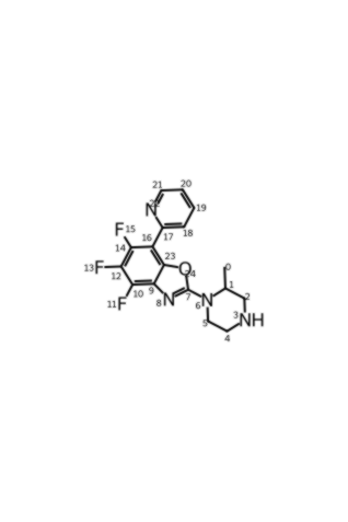 CC1CNCCN1c1nc2c(F)c(F)c(F)c(-c3ccccn3)c2o1